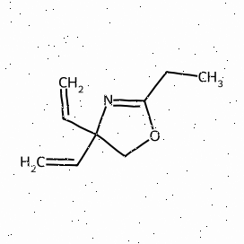 C=CC1(C=C)COC(CC)=N1